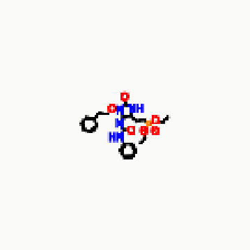 CCOP(=O)(CCC1NC(=O)N(OCCc2ccccc2)C1=NC(=O)Nc1ccccc1)OCC